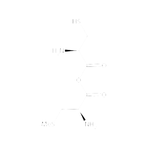 CSC[C@H](N)C(=O)OC(=O)[C@@H](N)CS